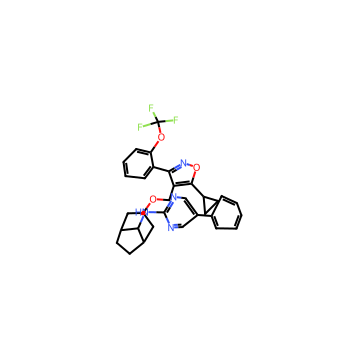 FC(F)(F)Oc1ccccc1-c1noc(C2CC2)c1COC1CC2CCC(C1)C2Nc1ncc(-c2ccccc2)cn1